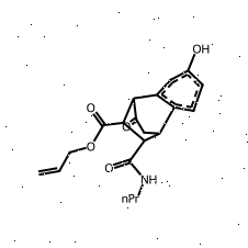 C=CCOC(=O)C1C2C(=O)CC(c3ccc(O)cc32)C1C(=O)NCCC